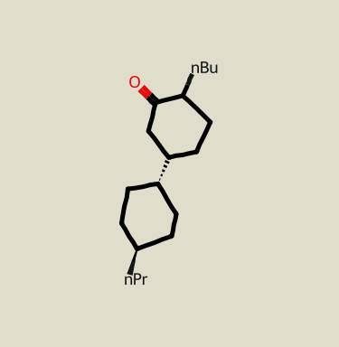 CCCCC1CCC([C@H]2CC[C@H](CCC)CC2)CC1=O